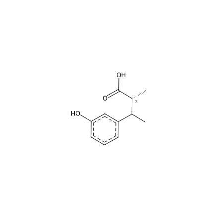 CC(c1cccc(O)c1)[C@@H](C)C(=O)O